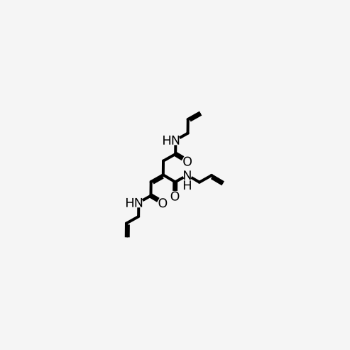 C=CCNC(=O)C=C(CC(=O)NCC=C)C(=O)NCC=C